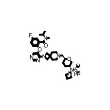 CC(C)N(C)C(=O)c1cc(F)ccc1Oc1cncnc1N1CC2(CCN(C[C@@H]3CC[C@@H](N(N4CCC4)[SH](=O)=O)CO3)CC2)C1